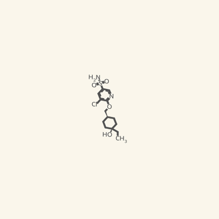 CC[C@]1(O)CC[C@@H](COc2ncc(S(N)(=O)=O)cc2Cl)CC1